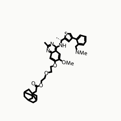 CNCc1ccccc1-c1csc([C@@H](C)Nc2nc(C)nc3cc(OCCOCCOC(=O)CC45CC6CC(CC(C6)C4)C5)c(OC)cc23)c1